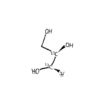 [2H][13C@@H](O)[13C@H](O)CO